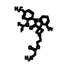 Cc1ccc(NC(=O)C2(c3ccccc3C(C)C)CN(CCOC(=O)CN)C2)c(OC(F)F)n1